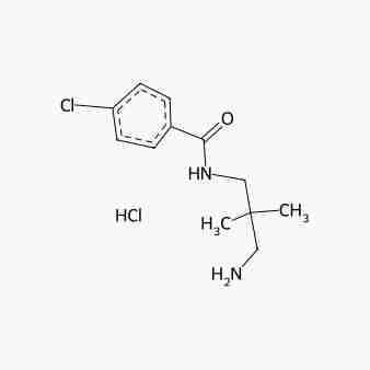 CC(C)(CN)CNC(=O)c1ccc(Cl)cc1.Cl